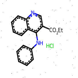 CCOC(=O)c1cnc2ccccc2c1Nc1ccccc1.Cl